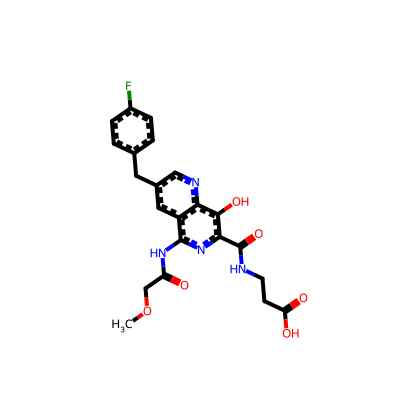 COCC(=O)Nc1nc(C(=O)NCCC(=O)O)c(O)c2ncc(Cc3ccc(F)cc3)cc12